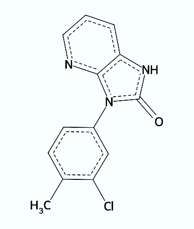 Cc1ccc(-n2c(=O)[nH]c3cccnc32)cc1Cl